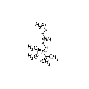 CC(C)P(CCNCCP)C(C)C